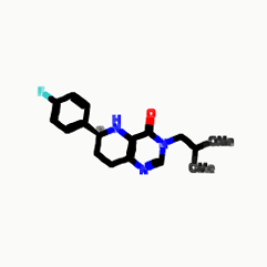 COC(Cn1cnc2c(c1=O)N[C@H](c1ccc(F)cc1)CC2)OC